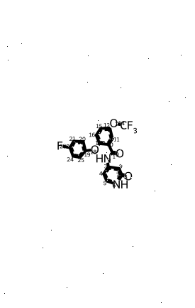 O=C(Nc1cc[nH]c(=O)c1)c1cc(OC(F)(F)F)ccc1Oc1ccc(F)cc1